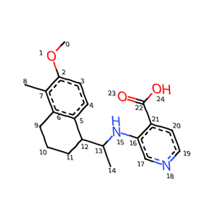 COc1ccc2c(c1C)CCCC2C(C)Nc1cnccc1C(=O)O